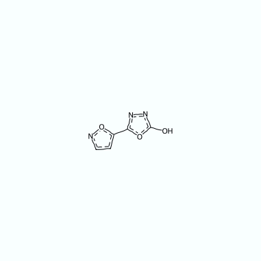 Oc1nnc(-c2ccno2)o1